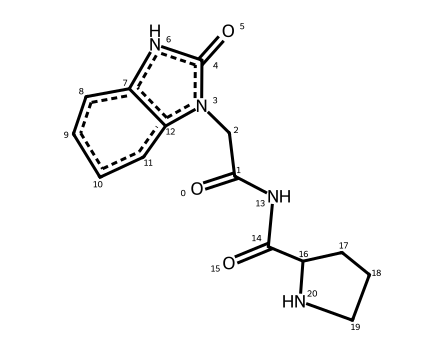 O=C(Cn1c(=O)[nH]c2ccccc21)NC(=O)C1CCCN1